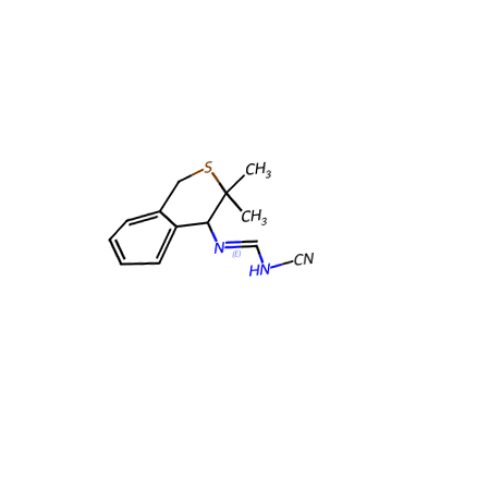 CC1(C)SCc2ccccc2C1/N=C/NC#N